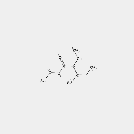 CCC(C)C(OC)C(=O)OOC